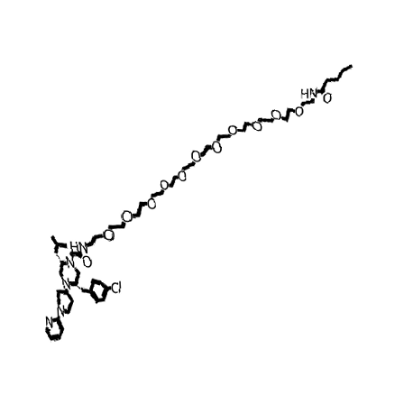 CCCCC(=O)NCCOCCOCCOCCOCCOCCOCCOCCOCCOCCOCCOCCNC(=O)CN1C[C@H](Cc2ccc(Cl)cc2)N(C2CCN(c3ccccn3)CC2)C[C@@H]1CC(C)C